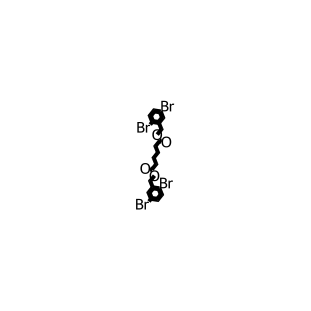 O=C(CCCCC(=O)OCc1cc(Br)ccc1Br)OCc1cc(Br)ccc1Br